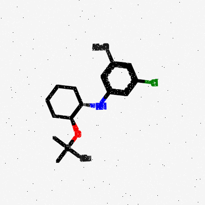 COc1cc(Cl)cc(N[C@H]2CCCC[C@@H]2O[Si](C)(C)C(C)(C)C)c1